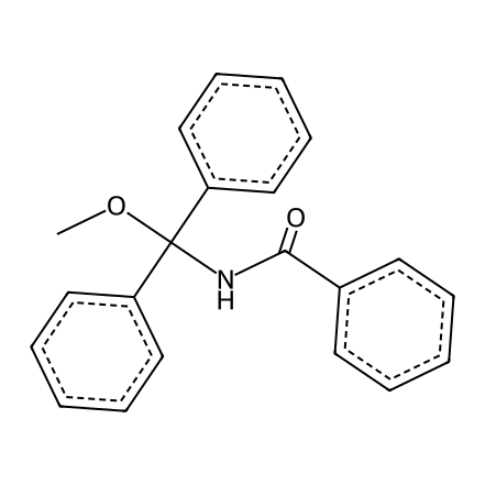 COC(NC(=O)c1ccccc1)(c1ccccc1)c1ccccc1